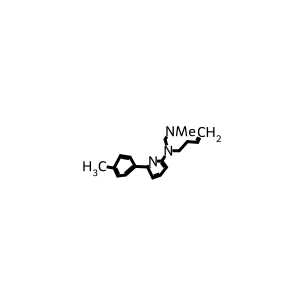 C=CCCN(CNC)c1cccc(-c2ccc(C)cc2)n1